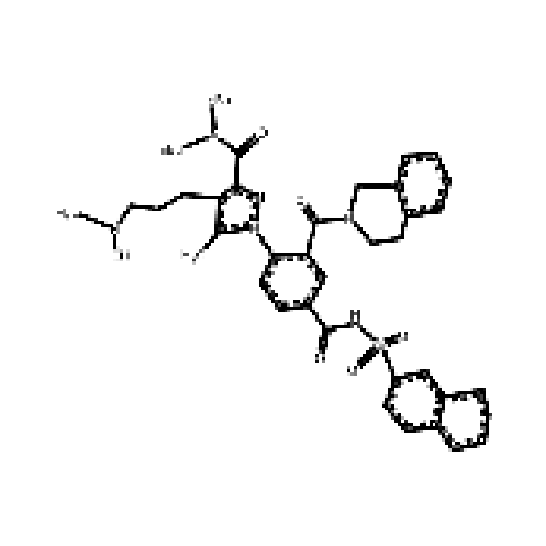 CCCCN(CCCC)C(=O)c1nn(-c2ccc(C(=O)NS(=O)(=O)c3ccc4ccccc4c3)cc2C(=O)N2CCc3ccccc3C2)c(C)c1CCCN(C)C